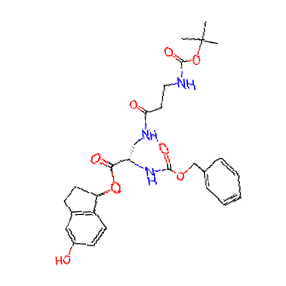 CC(C)(C)OC(=O)NCCC(=O)NC[C@H](NC(=O)OCc1ccccc1)C(=O)OC1CCc2cc(O)ccc21